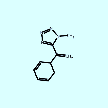 C=C(c1nnnn1C)C1C=CC=CC1